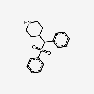 O=S(=O)(c1ccccc1)C(c1c[c]ccc1)C1CCNCC1